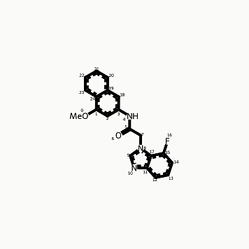 COc1cc(NC(=O)Cn2cnc3cccc(F)c32)cc2ccccc12